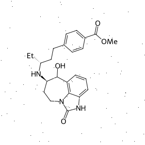 CC[C@H](CCc1ccc(C(=O)OC)cc1)N[C@@H]1CCn2c(=O)[nH]c3cccc(c32)C1O